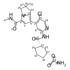 CNC(=O)c1cc(-c2cc(NC(=O)[C@H]3CCC[C@@H](OC(N)=O)C3)ncc2Cl)c2n1CC(C)(C)C2